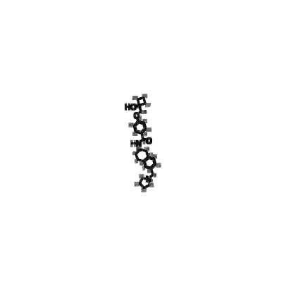 O=C(N[C@H]1CCc2cc(CN3CCCC3)ccc2C1)c1ccc(OCC2(O)CCC2)cc1